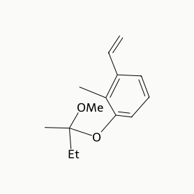 C=Cc1cccc(OC(C)(CC)OC)c1C